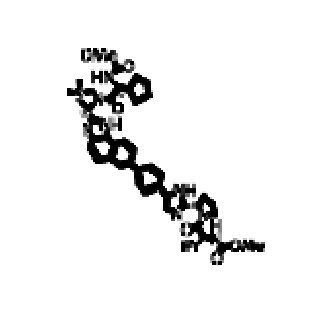 COC(=O)N[C@H](C(=O)N1CCC[C@H]1c1ncc(-c2ccc(-c3ccc4c(ccc5nc([C@@H]6C[Si](C)(C)CN6C(=O)[C@@H](NC(=O)OC)C6CCCC6)[nH]c54)c3)cc2)[nH]1)C(C)C